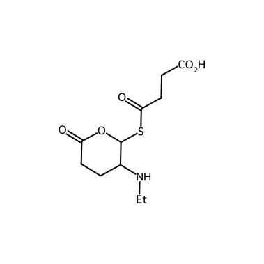 CCNC1CCC(=O)OC1SC(=O)CCC(=O)O